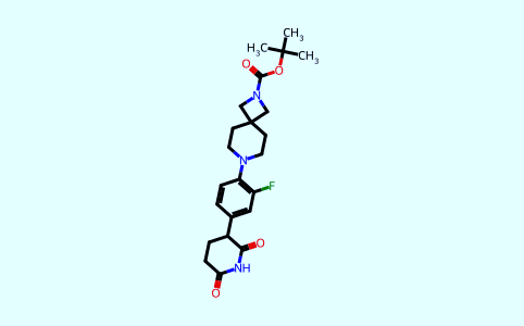 CC(C)(C)OC(=O)N1CC2(CCN(c3ccc(C4CCC(=O)NC4=O)cc3F)CC2)C1